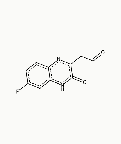 O=CCc1nc2ccc(F)cc2[nH]c1=O